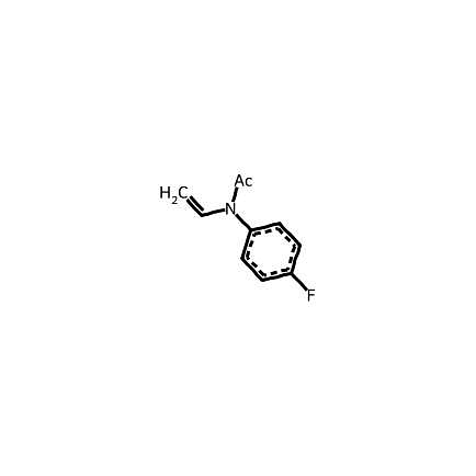 C=CN(C(C)=O)c1ccc(F)cc1